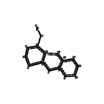 F[CH]c1cccc2cc3ccccc3cc12